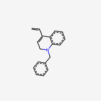 C=CC1=CCN(Cc2ccccc2)c2ccccc21